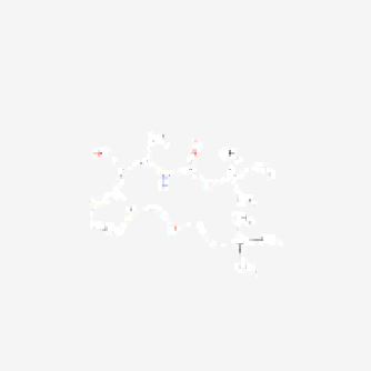 C[C@H](NC(=O)OC(C)(C)C)C(O)c1nccn1COCC[Si](C)(C)C